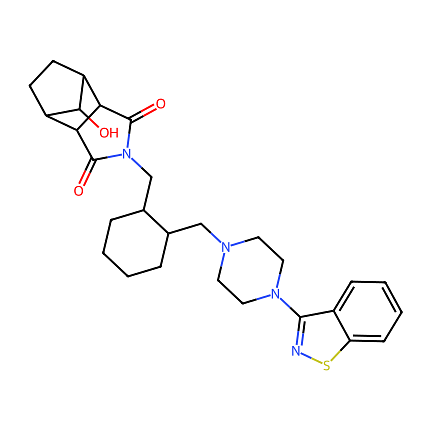 O=C1C2C3CCC(C3O)C2C(=O)N1CC1CCCCC1CN1CCN(c2nsc3ccccc23)CC1